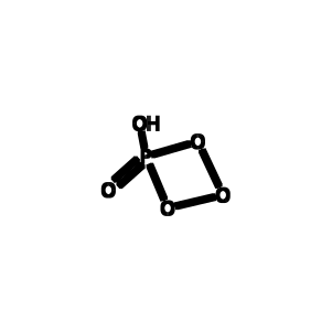 O=P1(O)OOO1